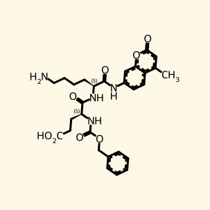 Cc1cc(=O)oc2cc(NC(=O)[C@H](CCCCN)NC(=O)[C@H](CCC(=O)O)NC(=O)OCc3ccccc3)ccc12